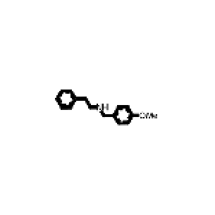 COc1ccc(CNCCc2ccccc2)cc1